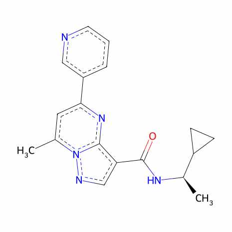 Cc1cc(-c2cccnc2)nc2c(C(=O)N[C@H](C)C3CC3)cnn12